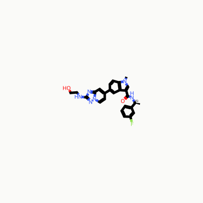 C[C@H](NC(=O)c1cn(C)c2ccc(-c3ccn4nc(NCCO)nc4c3)cc12)c1cccc(F)c1